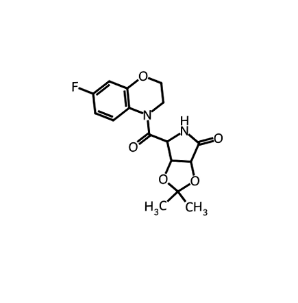 CC1(C)OC2C(=O)NC(C(=O)N3CCOc4cc(F)ccc43)C2O1